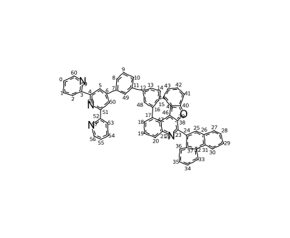 c1ccc(-c2cc(-c3cccc(-c4cccc(-c5cccc6nc(-c7cc8ccccc8c8ccccc78)c7oc8ccccc8c7c56)c4)c3)cc(-c3ccccn3)n2)nc1